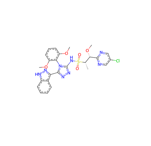 COc1cccc(OC)c1-n1c(NS(=O)(=O)[C@@H](C)[C@H](OC)c2ncc(Cl)cn2)nnc1-c1n[nH]c2ccccc12